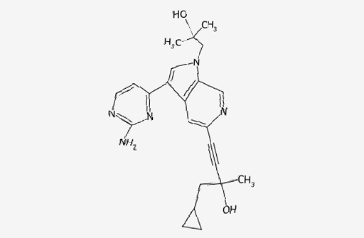 CC(C)(O)Cn1cc(-c2ccnc(N)n2)c2cc(C#CC(C)(O)CC3CC3)ncc21